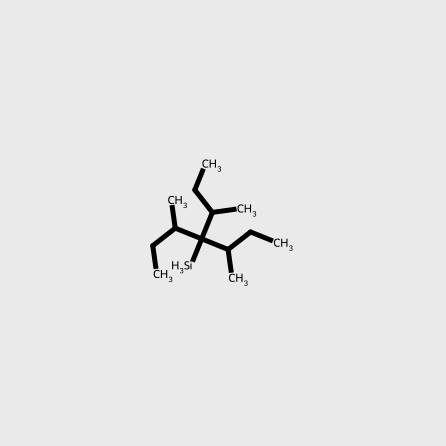 CCC(C)C([SiH3])(C(C)CC)C(C)CC